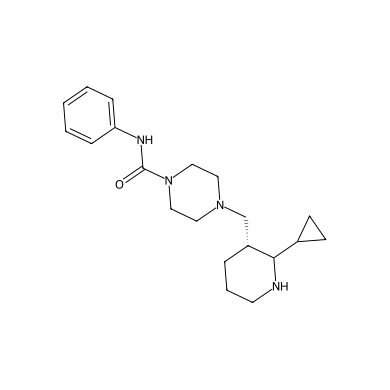 O=C(Nc1ccccc1)N1CCN(C[C@H]2CCCNC2C2CC2)CC1